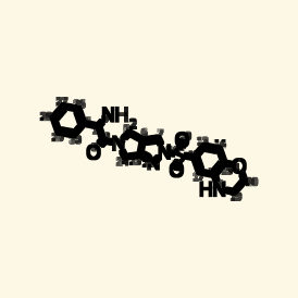 NC(C(=O)N1Cc2cn(S(=O)(=O)c3ccc4c(c3)NCCO4)nc2C1)c1ccccc1